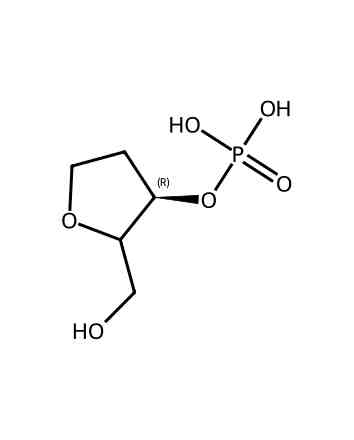 O=P(O)(O)O[C@@H]1CCOC1CO